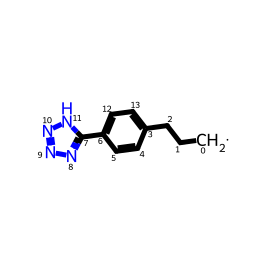 [CH2]CCc1ccc(-c2nnn[nH]2)cc1